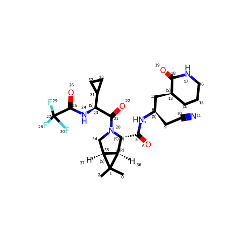 CC1(C)[C@@H]2[C@@H](C(=O)N[C@H](CC#N)C[C@@H]3CCCNC3=O)N(C(=O)[C@@H](NC(=O)C(F)(F)F)C3CC3)C[C@@H]21